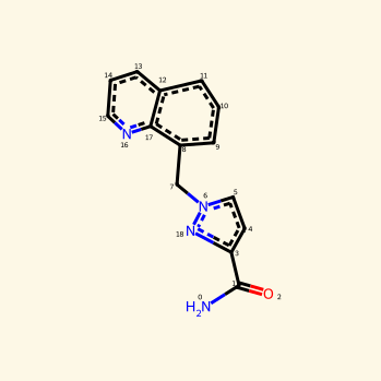 NC(=O)c1[c]cn(Cc2cccc3cccnc23)n1